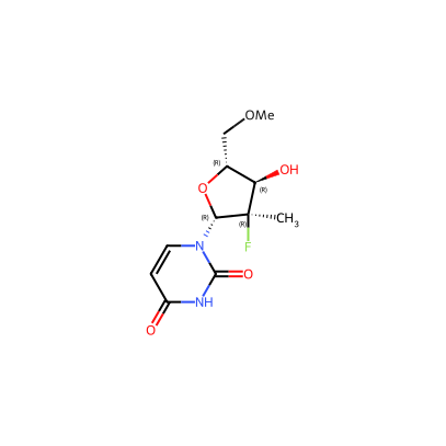 COC[C@H]1O[C@@H](n2ccc(=O)[nH]c2=O)[C@](C)(F)[C@@H]1O